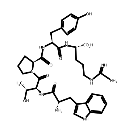 C[C@@H](O)[C@H](NC(=O)[C@@H](N)Cc1c[nH]c2ccccc12)C(=O)N1CCC[C@H]1C(=O)N[C@@H](Cc1ccc(O)cc1)C(=O)N[C@@H](CCCNC(=N)N)C(=O)O